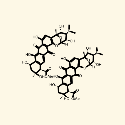 COC(=O)[C@@H]1c2cc3c(c(O)c2[C@@H](O)C[C@]1(C)O)C(=O)c1c(O)cc2c(c1C3=O)O[C@@H]1O[C@@]2(C)[C@H](O)[C@@H](N(C)C)[C@@H]1O.COC(=O)[C@@H]1c2cc3c(c(O)c2[C@@H](O)C[C@]1(C)O)C(=O)c1c(O)cc2c(c1C3=O)O[C@@H]1O[C@@]2(C)[C@H](O)[C@@H](N(C)C)[C@@H]1O